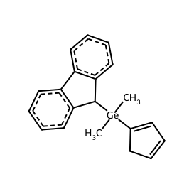 [CH3][Ge]([CH3])([C]1=CC=CC1)[CH]1c2ccccc2-c2ccccc21